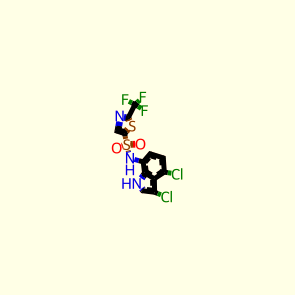 O=S(=O)(Nc1ccc(Cl)c2c(Cl)c[nH]c12)c1cnc(C(F)(F)F)s1